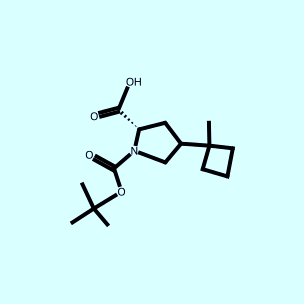 CC(C)(C)OC(=O)N1CC(C2(C)CCC2)C[C@H]1C(=O)O